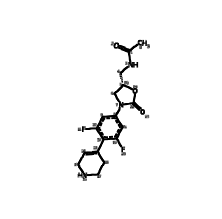 CC(=O)NC[C@H]1CN(c2cc(F)c(C3=CCNCC3)c(F)c2)C(=O)O1